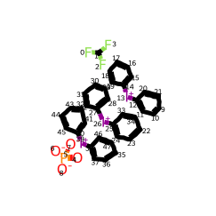 FC(F)F.O=P([O-])([O-])[O-].c1ccc([I+]c2ccccc2)cc1.c1ccc([I+]c2ccccc2)cc1.c1ccc([I+]c2ccccc2)cc1